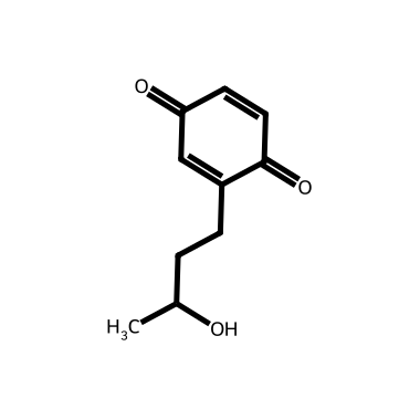 CC(O)CCC1=CC(=O)C=CC1=O